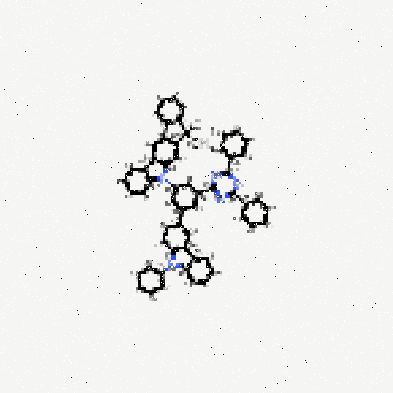 CC1(C)c2ccccc2-c2cc3c4ccccc4n(-c4cc(-c5ccc6c(c5)c5ccccc5n6-c5ccccc5)cc(-c5nc(-c6ccccc6)nc(-c6ccccc6)n5)c4)c3cc21